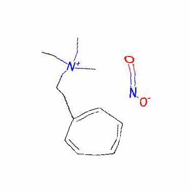 C[N+](C)(C)Cc1ccccc1.O=N[O-]